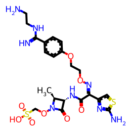 C[C@H]1[C@H](NC(=O)/C(=N\OCCOc2ccc(C(=N)NCCN)cc2)c2csc(N)n2)C(=O)N1OCS(=O)(=O)O